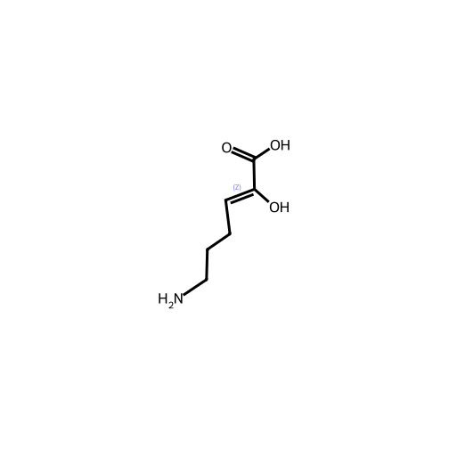 NCCC/C=C(\O)C(=O)O